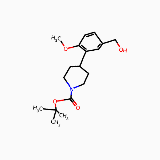 COc1ccc(CO)cc1C1CCN(C(=O)OC(C)(C)C)CC1